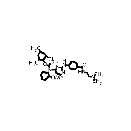 COc1ccccc1N(C(=O)Oc1c(C)cc(C)cc1C)c1ccnc(Nc2ccc(C(=O)NCCN(C)C)cc2)n1